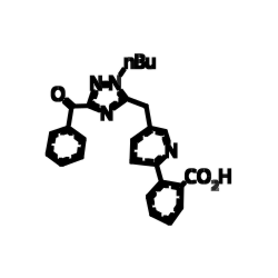 CCCCn1nc(C(=O)c2ccccc2)nc1Cc1ccc(-c2ccccc2C(=O)O)nc1